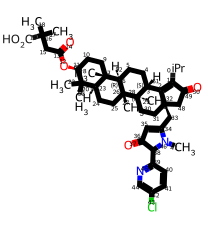 CC(C)C1=C2[C@H]3CC[C@@H]4[C@@]5(C)CC[C@H](OC(=O)CC(C)(C)C(=O)O)C(C)(C)[C@@H]5CC[C@@]4(C)[C@]3(C)CC[C@@]2(CC2=CC(=O)C(c3ccc(Cl)cn3)N2C)CC1=O